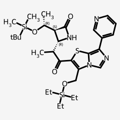 CC[Si](CC)(CC)OCc1c(C(=O)C(C)[C@H]2NC(=O)[C@@H]2[C@@H](C)O[Si](C)(C)C(C)(C)C)sc2c(-c3cccnc3)ncn12